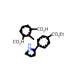 CCOC(=O)c1ccc(-c2ccc[nH]2)cc1.Cc1c(C(=O)O)cccc1C(=O)O